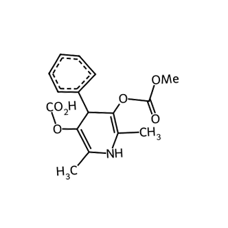 COC(=O)OC1=C(C)NC(C)=C(OC(=O)O)C1c1ccccc1